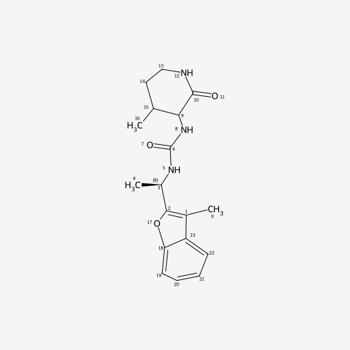 Cc1c([C@@H](C)NC(=O)NC2C(=O)NCCC2C)oc2ccccc12